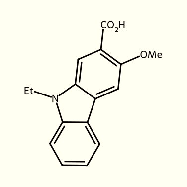 CCn1c2ccccc2c2cc(OC)c(C(=O)O)cc21